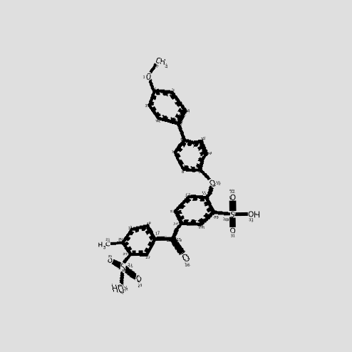 COc1ccc(-c2ccc(Oc3ccc(C(=O)c4ccc(C)c(S(=O)(=O)O)c4)cc3S(=O)(=O)O)cc2)cc1